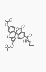 CCCNC(=O)c1ccc2c(c1)C(=O)OC21c2ccc(OC(C)=O)cc2Oc2cc(OC(C)=O)ccc21